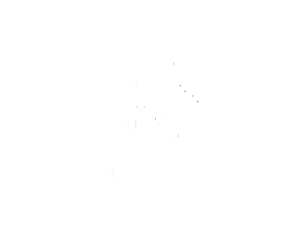 CO/C=C(/C(=O)OC)c1c(OC(=O)c2ccc(Cl)cc2Cl)c(C)nn1C